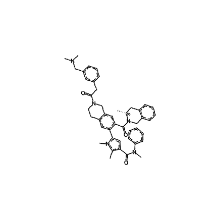 Cc1c(C(=O)N(C)c2ccccc2)cc(-c2cc3c(cc2C(=O)N2Cc4ccccc4C[C@H]2C)CN(C(=O)Cc2cccc(CN(C)C)c2)CC3)n1C